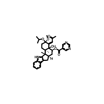 CO[C@]1(OC(C)C)CC[C@]2(C)[C@@]3(C)c4[nH]c5ccccc5c4C[C@@H]3C[C@H](OC(=O)c3cncnc3)[C@@]2(O)/C1=C/C(C)=O